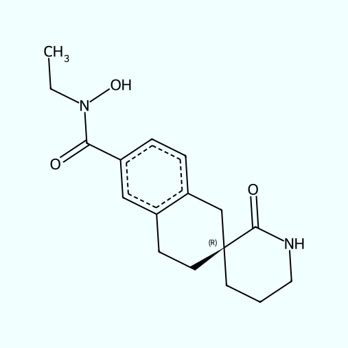 CCN(O)C(=O)c1ccc2c(c1)CC[C@@]1(CCCNC1=O)C2